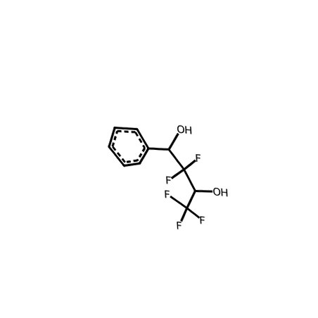 OC(c1ccccc1)C(F)(F)C(O)C(F)(F)F